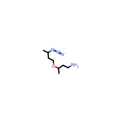 CC(CCOC(C)CCN)N=[N+]=[N-]